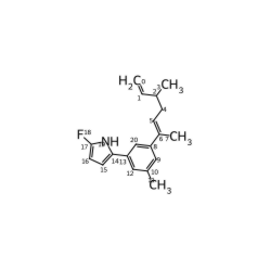 C=CC(C)C/C=C(\C)c1cc(C)cc(-c2ccc(F)[nH]2)c1